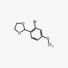 FC(F)(F)Oc1ccc(C2OCCO2)c(Br)c1